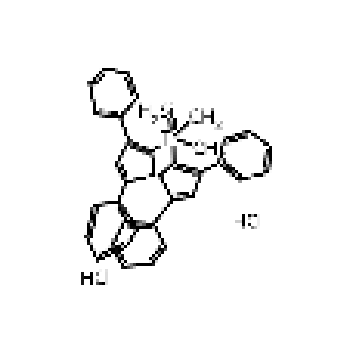 Cl.Cl.[CH3][Ti]([CH3])(=[SiH2])([C]1=C(c2ccccc2)C=C(c2ccccc2)C1)[C]1=C(c2ccccc2)C=C(c2ccccc2)C1